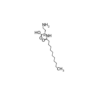 CCCCCCCCCCCC(=O)N[C@H](CCN)C(=O)O